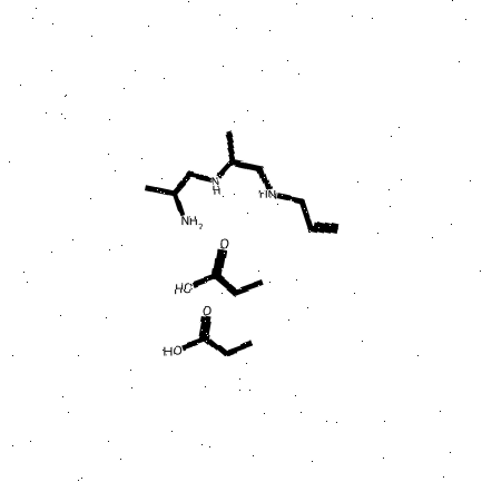 C=CCNCC(C)NCC(C)N.CCC(=O)O.CCC(=O)O